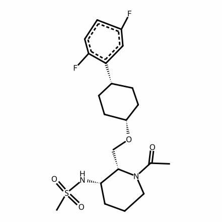 CC(=O)N1CCC[C@H](NS(C)(=O)=O)[C@@H]1CO[C@H]1CC[C@@H](c2cc(F)ccc2F)CC1